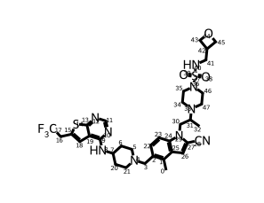 Cc1c(CN2CCC(Nc3ncnc4sc(CC(F)(F)F)cc34)CC2)ccc2c1cc(C#N)n2CC(C)N1CCN(S(=O)(=O)NCC2COC2)CC1